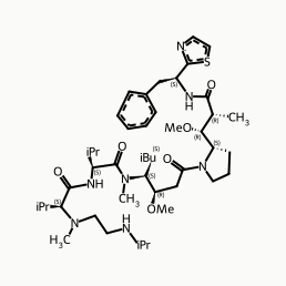 CC[C@H](C)[C@@H]([C@@H](CC(=O)N1CCC[C@H]1[C@H](OC)[C@@H](C)C(=O)N[C@@H](Cc1ccccc1)c1nccs1)OC)N(C)C(=O)[C@@H](NC(=O)[C@H](C(C)C)N(C)CCNC(C)C)C(C)C